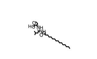 CCCCCCCCCCCCCCCOC(=O)N[C@@H](CN[C@H]1CCOC1O)CC(C)C